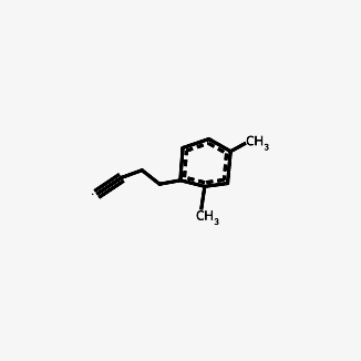 [C]#CCCc1ccc(C)cc1C